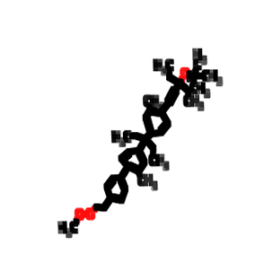 CCC(C#Cc1ccc(C(CC)(CC)c2ccc(-c3ccc(CCOOC)cc3)c(C)c2)cc1C)(CC)O[Si](C)(C)C